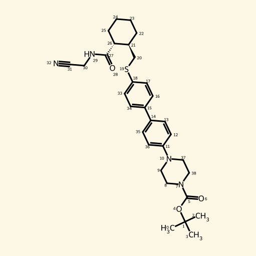 CC(C)(C)OC(=O)N1CCN(c2ccc(-c3ccc(SC[C@@H]4CCCC[C@H]4C(=O)NCC#N)cc3)cc2)CC1